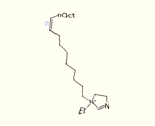 CCCCCCCC/C=C\CCCCCCCC[N+]1(CC)C=NCC1